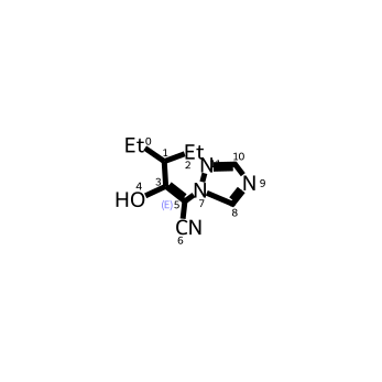 CCC(CC)/C(O)=C(/C#N)n1cncn1